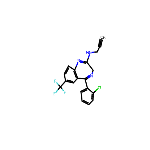 C#CCNC1=Nc2ccc(C(F)(F)F)cc2C(c2ccccc2Cl)=NC1